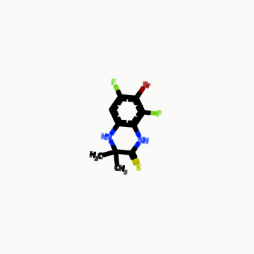 CC1(C)Nc2cc(F)c(Br)c(F)c2NC1=S